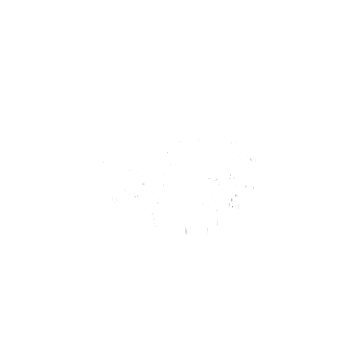 O=C(Cc1ccccc1)N[C@@H]1C(=O)N2C(C(=O)O)C(/C=C\COc3ccc4c(-c5ccccc5C(=O)O)c5ccc(=O)cc-5oc4c3)CS[C@H]12